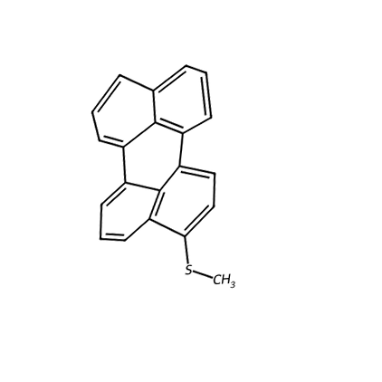 CSc1ccc2c3cccc4cccc(c5cccc1c52)c43